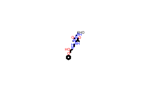 Cc1c(NCCNCC(O)COc2ccccc2)n(C)c(=O)n(CNC=O)c1=O